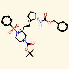 CC(C)(C)OC(=O)N1CCN(S(=O)(=O)c2ccccc2)[C@@H](C=C[C@H]2CCC[C@@H]2NC(=O)OCc2ccccc2)C1